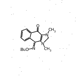 CC(C)CON=C1C2=C(C(=O)c3ccccc31)N(C)CN2C